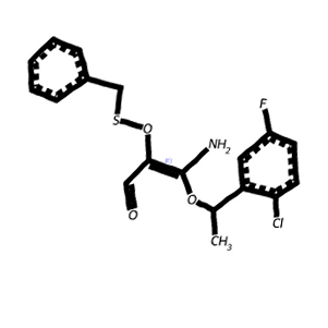 CC(O/C(N)=C(\C=O)OSCc1ccccc1)c1cc(F)ccc1Cl